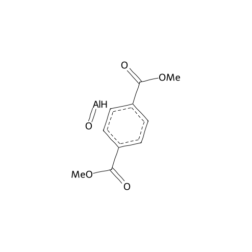 COC(=O)c1ccc(C(=O)OC)cc1.[O]=[AlH]